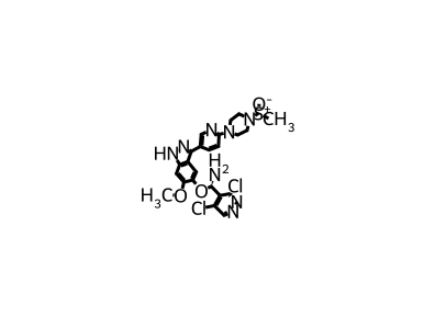 COc1cc2[nH]nc(-c3ccc(N4CCN([S+](C)[O-])CC4)nc3)c2cc1O[C@H](N)c1c(Cl)cnnc1Cl